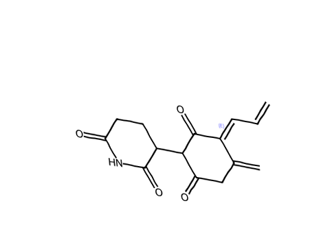 C=C/C=C1\C(=C)CC(=O)C(C2CCC(=O)NC2=O)C1=O